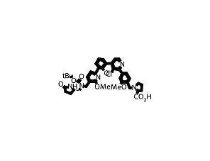 COc1cc(-c2nccc(-c3cccc(-c4ccc(CN(C[C@@H]5CCC(=O)N5)C(=O)OC(C)(C)C)c(OC)n4)c3Cl)c2Cl)ccc1CN1CCCC1C(=O)O